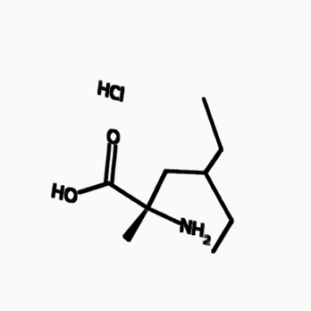 CCC(CC)C[C@](C)(N)C(=O)O.Cl